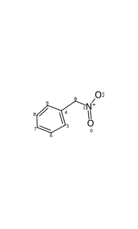 O=[N+]([O-])[C]c1ccccc1